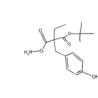 CCC(Cc1ccc(O)cc1)(C(=O)ON)C(=O)OC(C)(C)C